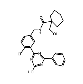 O=C(NCc1ccc(Cl)c(-c2nc(O)nc(-c3ccccc3)n2)c1)C1(CO)CCCCC1